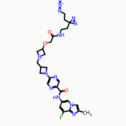 Cc1cn2cc(NC(=O)c3cnc(N4CC(CN5CC(OCC(=O)NCCC6(CCN=[N+]=[N-])N=N6)C5)C4)cn3)cc(F)c2n1